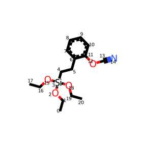 CCO[Si](CCc1ccccc1OC#N)(OCC)OCC